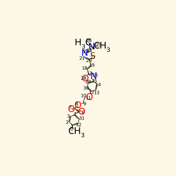 Cc1ccc(S(=O)(=O)OCCOc2ccc3nc(C=Cc4cnc(N(C)C)s4)oc3c2)cc1